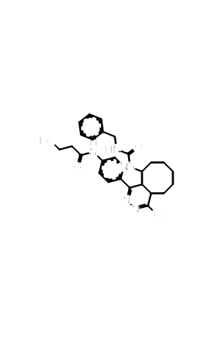 CCCC(=O)Nc1ccc(C2=NN=C(C)C3CCCCCC(OC(=O)NCc4ccccc4)C23)nc1